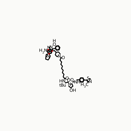 Cc1ncsc1-c1ccc(CNC(=O)[C@@H]2C[C@H](O)CN2C(=O)[C@@H](NC(=O)CCCCCCCCCC(=O)N2CCC(Cc3cccc(N4C5CCC4CN(c4cc(-c6ccccc6O)nnc4N)C5)c3)CC2)C(C)(C)C)cc1